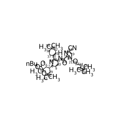 CCCCOC(=O)C1(C)CC(c2ccc(NC(=O)c3nc(C#N)cn3COCC[Si](C)(C)C)c(C3=CCC(C)(C)CC3)n2)CC(C)(C)O1